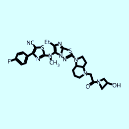 CCc1nc2sc(N3CCC4C3CCCN4CC(=O)N3CC(O)C3)nn2c1N(C)c1nc(-c2ccc(F)cc2)c(C#N)s1